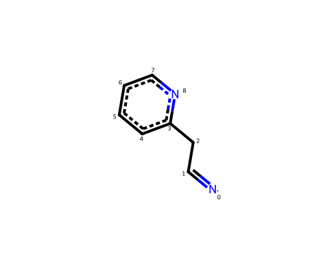 [N]=CCc1ccccn1